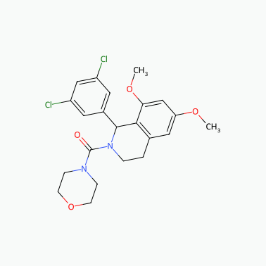 COc1cc2c(c(OC)c1)C(c1cc(Cl)cc(Cl)c1)N(C(=O)N1CCOCC1)CC2